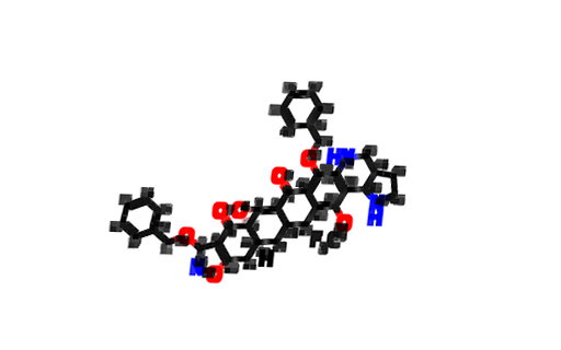 O=C1C2=C3O[C@]34C(=O)c3c(OCc5ccccc5)noc3C[C@@H]4CC2Cc2c(OC(F)(F)F)c3c(c(OCc4ccccc4)c21)NCC1CCNC31